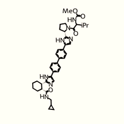 COC(=O)NC(C(=O)N1CCC[C@H]1c1ncc(-c2ccc(-c3ccc(-c4cnc([C@H]5CCCC[C@H]5C(=O)NCC5CC5)[nH]4)cc3)cc2)[nH]1)C(C)C